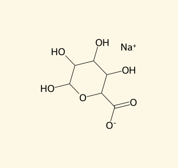 O=C([O-])C1OC(O)C(O)C(O)C1O.[Na+]